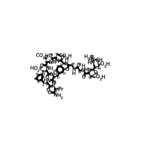 CC(C)[C@H](NC(=O)[C@H](Cc1ccccc1)NC(=O)[C@H](Cc1ccccc1)NC(=O)[C@H](CC(=O)O)NC(=O)[C@H](CC(=O)O)NC(=O)[C@H](CC(=O)O)NC(=O)CNC(=O)CNC(=O)CNC(=O)[C@H](CC(=O)O)NC(=O)[C@H](CC(=O)O)N[SH](C)S)C(N)=O